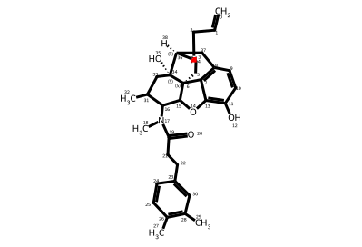 C=CCN1CC[C@]23c4c5ccc(O)c4OC2C(N(C)C(=O)CCc2ccc(C)c(C)c2)C(C)C[C@@]3(O)[C@H]1C5